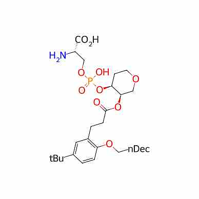 CCCCCCCCCCCOc1ccc(C(C)(C)C)cc1CCC(=O)O[C@@H]1COCC[C@@H]1OP(=O)(O)OC[C@H](N)C(=O)O